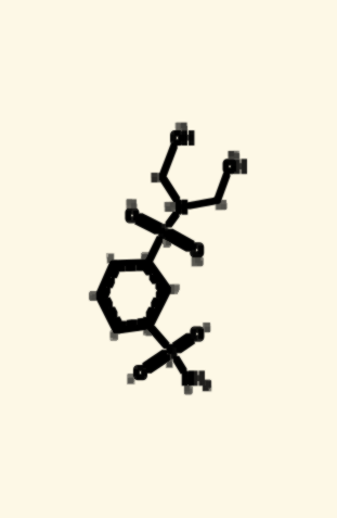 NS(=O)(=O)c1cccc(S(=O)(=O)N(CO)CO)c1